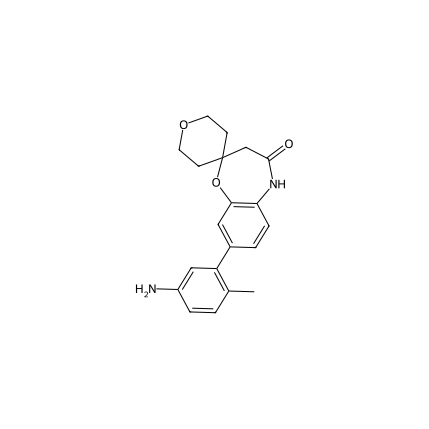 Cc1ccc(N)cc1-c1ccc2c(c1)OC1(CCOCC1)CC(=O)N2